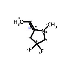 C/C=C1\CC(F)(F)CN1C